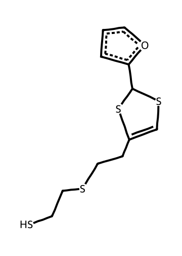 SCCSCCC1=CSC(c2ccco2)S1